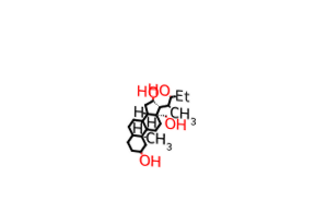 CCC(O)[C@@H](C)[C@H]1C(O)C[C@H]2[C@@H]3CCC4CCC(O)C[C@]4(C)[C@H]3CC[C@]12CO